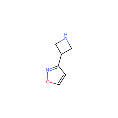 c1cc(C2CNC2)no1